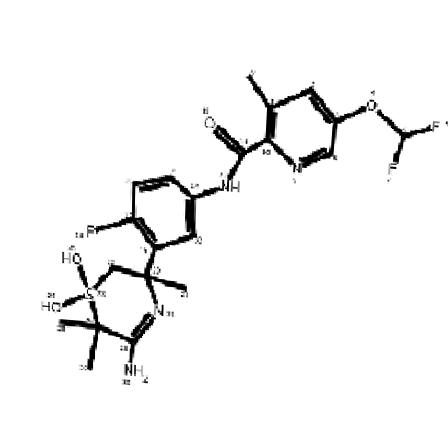 Cc1cc(OC(F)F)cnc1C(=O)Nc1ccc(F)c(C2(C)CS(O)(O)C(C)(C)C(N)=N2)c1